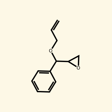 C=CCOC(c1ccccc1)C1CO1